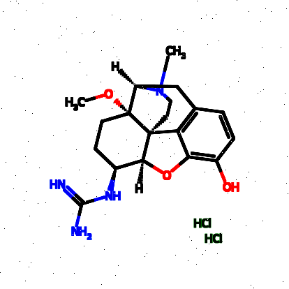 CO[C@@]12CC[C@H](NC(=N)N)[C@@H]3Oc4c(O)ccc5c4[C@@]31CCN(C)[C@@H]2C5.Cl.Cl